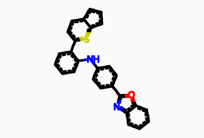 c1cc2ccc(-c3ccccc3Nc3ccc(-c4nc5ccccc5o4)cc3)sc-2c1